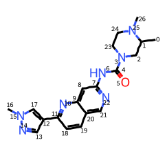 CC1CN(C(=O)Nc2cc3nc(-c4cnn(C)c4)ccc3cn2)CCN1C